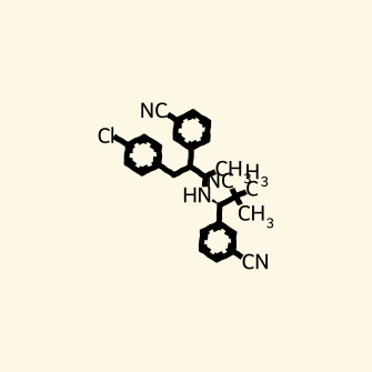 CC(N[C@@H](c1cccc(C#N)c1)C(C)(C)C#N)C(Cc1ccc(Cl)cc1)c1cccc(C#N)c1